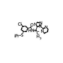 CC(C)Sc1cc(Cl)cc(C(=O)N[C@H](C)c2ncnn2-c2ncccn2)c1